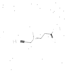 C#CCNCCC(=O)O